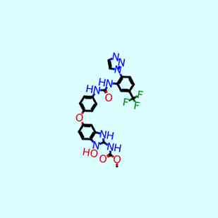 COC(=O)NC1Nc2cc(Oc3ccc(NC(=O)Nc4cc(C(F)(F)F)ccc4-n4ccnn4)cc3)ccc2N1O